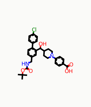 CC(C)(C)OC(=O)NCc1ccc(-c2ccc(Cl)cc2)c(C(O)C2CCN(c3ccc(C(=O)O)cc3)CC2)c1